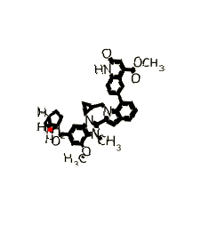 COC(=O)c1cc(=O)[nH]c2ccc(-c3cccc4cc(-c5nc6cc(C(=O)[C@]78CC[C@H](CN7)[C@H]8N)cc(OC)c6n5C)n(CC5CC5)c34)cc12